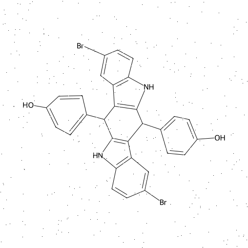 Oc1ccc(C2c3[nH]c4ccc(Br)cc4c3C(c3ccc(O)cc3)c3[nH]c4ccc(Br)cc4c32)cc1